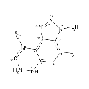 Cc1cc(NN)c([N+](=O)[O-])c2nnn(O)c12